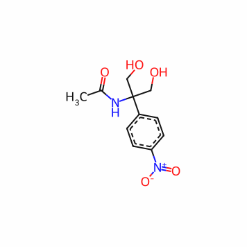 CC(=O)NC(CO)(CO)c1ccc([N+](=O)[O-])cc1